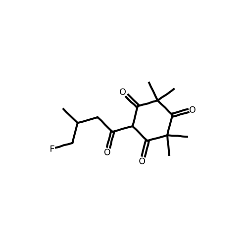 CC(CF)CC(=O)C1C(=O)C(C)(C)C(=O)C(C)(C)C1=O